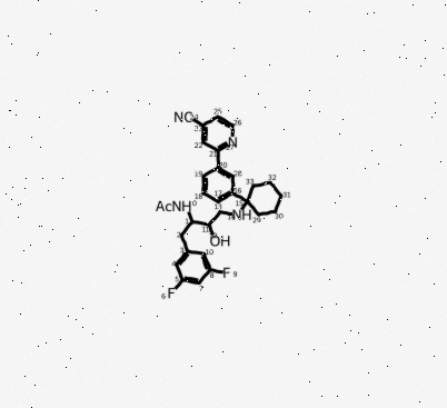 CC(=O)NC(Cc1cc(F)cc(F)c1)C(O)CNC1(c2cccc(-c3cc(C#N)ccn3)c2)CCCCC1